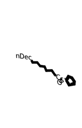 [CH2]CCCCCCCCCCCCCCCCC[S+]([O-])c1ccccc1